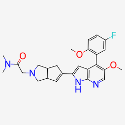 COc1ccc(F)cc1-c1c(OC)cnc2[nH]c(C3=CC4CN(CC(=O)N(C)C)CC4C3)cc12